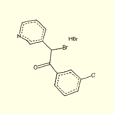 Br.O=C(c1cccc(Cl)c1)C(Br)c1cccnc1